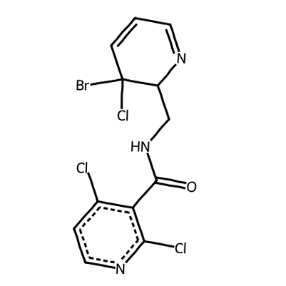 O=C(NCC1N=CC=CC1(Cl)Br)c1c(Cl)ccnc1Cl